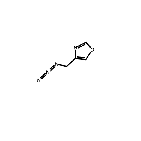 [N-]=[N+]=NCc1cocn1